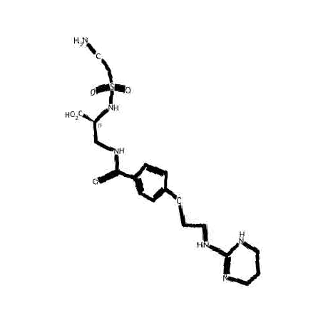 NCCS(=O)(=O)N[C@@H](CNC(=O)c1ccc(OCCNC2=NCCCN2)cc1)C(=O)O